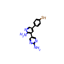 Nc1ncc(-c2cc(-c3ccc(S)cc3)cnc2N)cn1